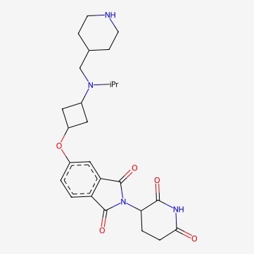 CC(C)N(CC1CCNCC1)C1CC(Oc2ccc3c(c2)C(=O)N(C2CCC(=O)NC2=O)C3=O)C1